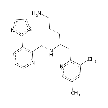 Cc1cnc(CC(CCCN)NCc2ncccc2-c2nccs2)c(C)c1